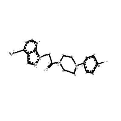 Nc1ncnc2c1cnn2CC(=O)N1CCN(c2ccc(F)cc2)CC1